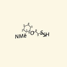 CN[C@@H]1CCCC[C@H]1OCCSS